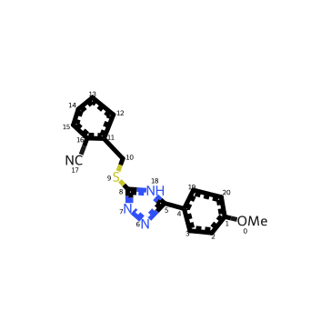 COc1ccc(-c2nnc(SCc3ccccc3C#N)[nH]2)cc1